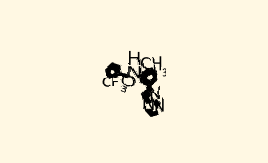 Cc1ccc(-c2cn3cccnc3n2)cc1NC(=O)c1ccccc1C(F)(F)F